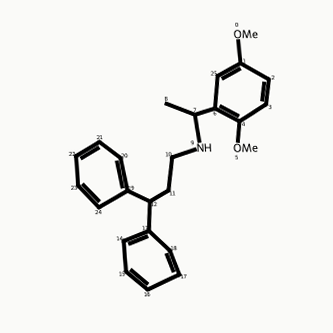 COc1ccc(OC)c(C(C)NCCC(c2ccccc2)c2ccccc2)c1